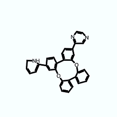 C1=CCNC(c2ccc3c(c2)Oc2ccccc2-c2ccccc2Oc2cc(-c4cnccn4)ccc2-3)=C1